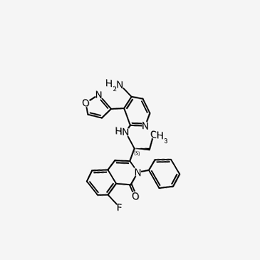 CC[C@H](Nc1nccc(N)c1-c1ccon1)c1cc2cccc(F)c2c(=O)n1-c1ccccc1